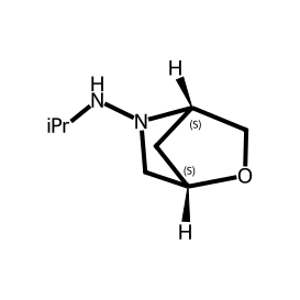 CC(C)NN1C[C@@H]2C[C@H]1CO2